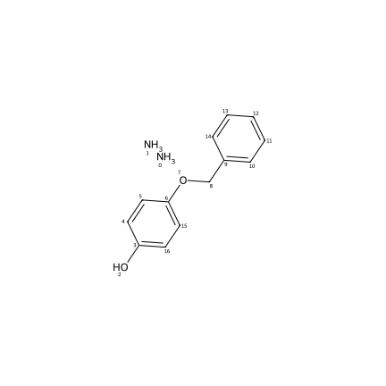 N.N.Oc1ccc(OCc2ccccc2)cc1